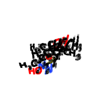 CC(C)N(O)C1N=CC(=Cc2cc(C(C)(C)C)c(O)c(C(C)(C)C)c2)[S+]1[O-]